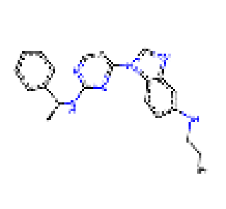 CC(C)CCNc1ccc2c(c1)ncn2-c1ccnc(N[C@@H](C)c2ccccc2)n1